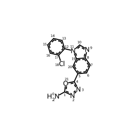 Nc1nnc(-c2ccc3ncn(-c4ccccc4Cl)c3c2)o1